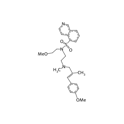 COCCN(CCN(C)CC(C)=Cc1ccc(OC)cc1)S(=O)(=O)c1cccc2cnccc12